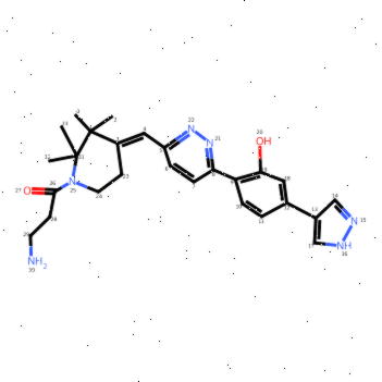 CC1(C)C(=Cc2ccc(-c3ccc(-c4cn[nH]c4)cc3O)nn2)CCN(C(=O)CCN)C1(C)C